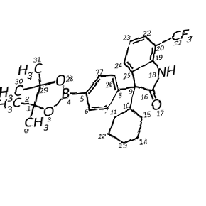 CC1(C)OB(c2ccc(C3(C4CCCCC4)C(=O)Nc4c(C(F)(F)F)cccc43)cc2)OC1(C)C